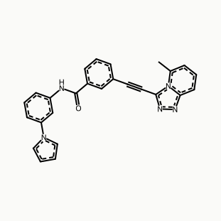 Cc1cccc2nnc(C#Cc3cccc(C(=O)Nc4cccc(-n5cccc5)c4)c3)n12